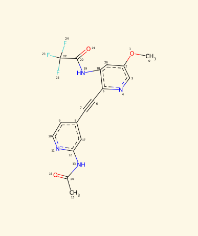 COc1cnc(C#Cc2ccnc(NC(C)=O)c2)c(NC(=O)C(F)(F)F)c1